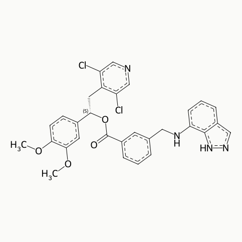 COc1ccc([C@H](Cc2c(Cl)cncc2Cl)OC(=O)c2cccc(CNc3cccc4cn[nH]c34)c2)cc1OC